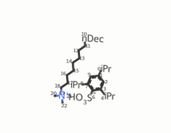 CC(C)c1cc(C(C)C)c(S(=O)(=O)O)c(C(C)C)c1.CCCCCCCCCCCCCCCCCC[N+](C)(C)C